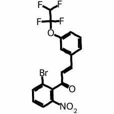 O=C(C=Cc1cccc(OC(F)(F)C(F)F)c1)c1c(Br)cccc1[N+](=O)[O-]